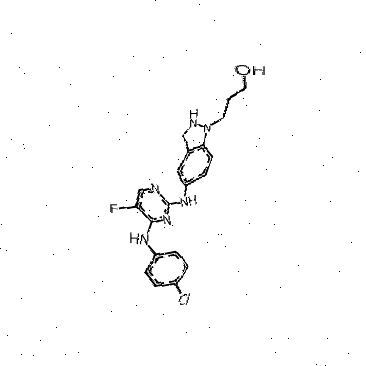 OCCCN1NCc2cc(Nc3ncc(F)c(Nc4ccc(Cl)cc4)n3)ccc21